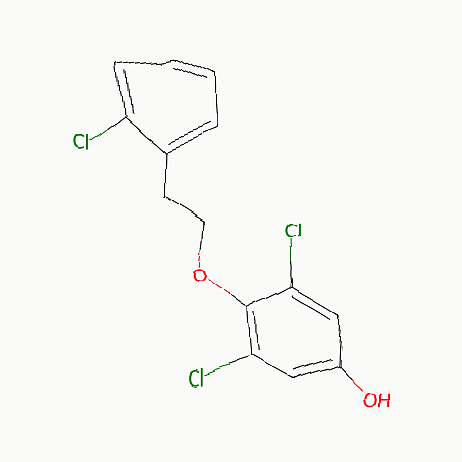 Oc1cc(Cl)c(OCCc2ccccc2Cl)c(Cl)c1